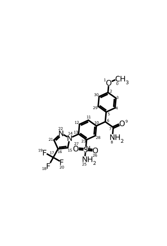 COc1ccc(C(C(N)=O)c2ccc(-n3cc(C(F)(F)F)cn3)c(S(N)(=O)=O)c2)cc1